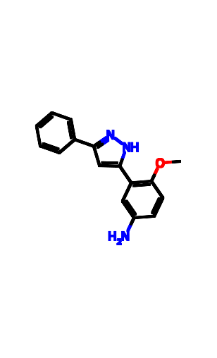 COc1ccc(N)cc1-c1cc(-c2ccccc2)n[nH]1